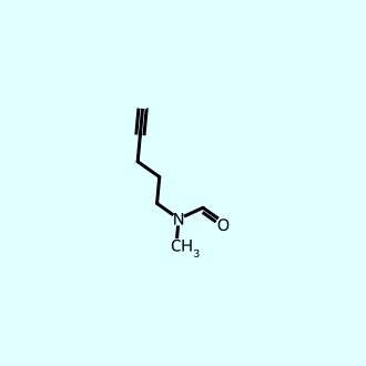 [C]#CCCCN(C)C=O